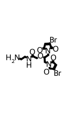 NCCNC(=O)COC(CN1C(=O)C=C(Br)C1=O)CN1C(=O)C=C(Br)C1=O